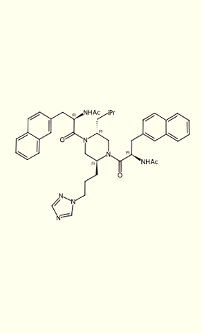 CC(=O)N[C@H](Cc1ccc2ccccc2c1)C(=O)N1C[C@H](CCCn2cncn2)N(C(=O)[C@@H](Cc2ccc3ccccc3c2)NC(C)=O)C[C@H]1CC(C)C